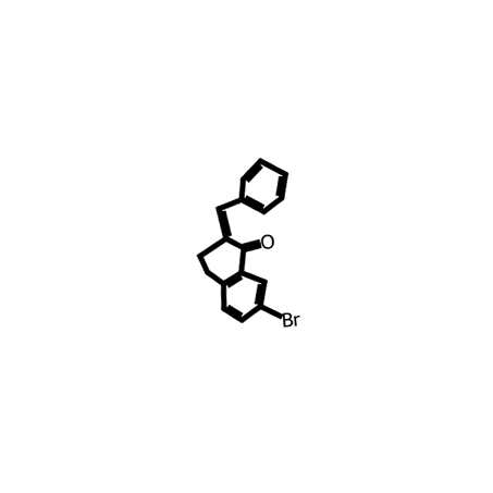 O=C1C(=Cc2ccccc2)CCc2ccc(Br)cc21